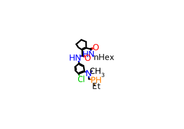 CCCCCCNC(=O)C1=C(C(=O)Nc2ccc(Cl)c(N(C)CPCC)c2)CCCC1